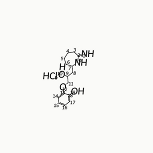 Cl.N=C1CCCCC(CC(O)COc2ccccc2O)N1